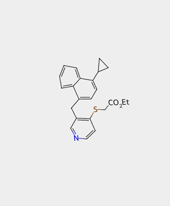 CCOC(=O)CSc1ccncc1Cc1ccc(C2CC2)c2ccccc12